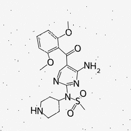 COc1cccc(OC)c1C(=O)c1cnc(N(C2CCNCC2)S(C)(=O)=O)nc1N